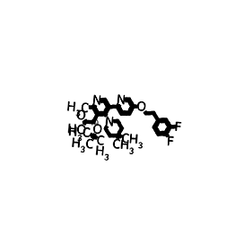 Cc1ncc(-c2ccc(OCCc3ccc(F)c(F)c3)cn2)c(N2CCC(C)(C)CC2)c1[C@H](OC(C)(C)C)C(=O)O